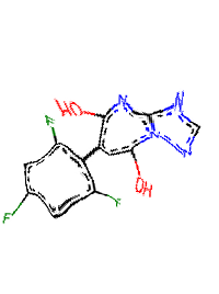 Oc1nc2ncnn2c(O)c1-c1c(F)cc(F)cc1F